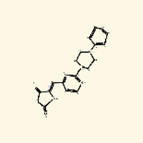 O=C1NC(=O)/C(=C/c2ccnc(N3CCN(c4ccccc4)CC3)n2)S1